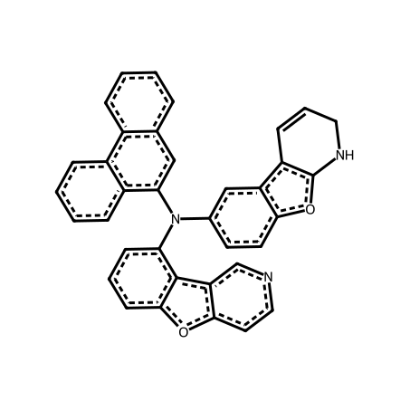 C1=Cc2c(oc3ccc(N(c4cc5ccccc5c5ccccc45)c4cccc5oc6ccncc6c45)cc23)NC1